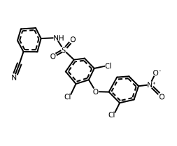 N#Cc1cccc(NS(=O)(=O)c2cc(Cl)c(Oc3ccc([N+](=O)[O-])cc3Cl)c(Cl)c2)c1